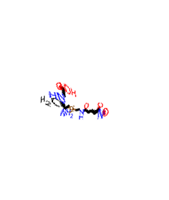 C=C(NCC(=O)O)C(N)CSSCCNC(=O)CCCC(=O)N=O